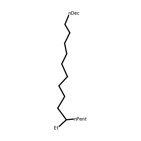 [CH2]CC(CCCCC)CCCCCCCCCCCCCCCCCCC